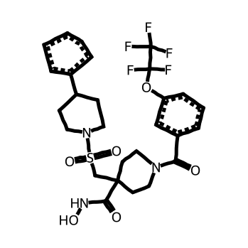 O=C(c1cccc(OC(F)(F)C(F)(F)F)c1)N1CCC(CS(=O)(=O)N2CCC(c3ccccc3)CC2)(C(=O)NO)CC1